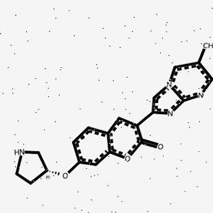 Cc1cnc2nc(-c3cc4ccc(O[C@@H]5CCNC5)cc4oc3=O)cn2c1